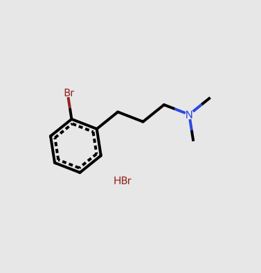 Br.CN(C)CCCc1ccccc1Br